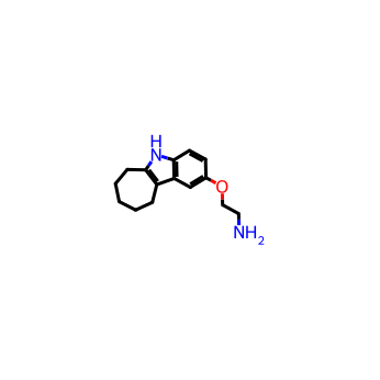 NCCOc1ccc2[nH]c3c(c2c1)CCCCC3